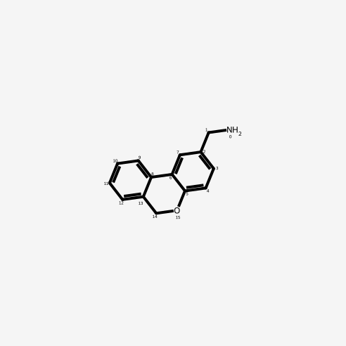 NCc1ccc2c(c1)-c1ccccc1CO2